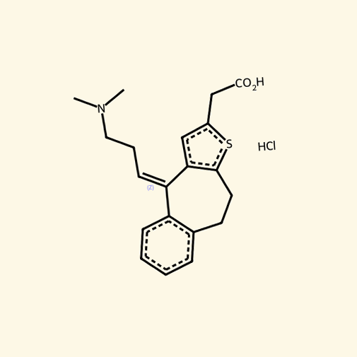 CN(C)CC/C=C1/c2ccccc2CCc2sc(CC(=O)O)cc21.Cl